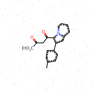 CCOC(=O)C(=O)CC(=O)c1c(-c2ccc(C)cc2)cc2ccccn12